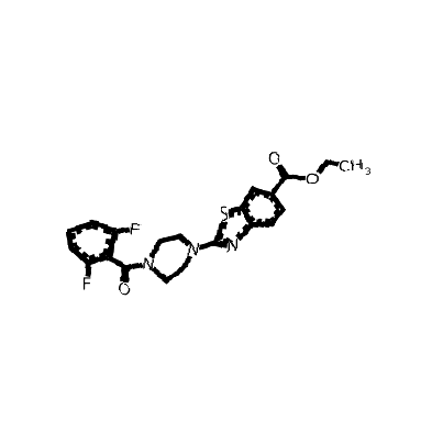 CCOC(=O)c1ccc2nc(N3CCN(C(=O)c4c(F)cccc4F)CC3)sc2c1